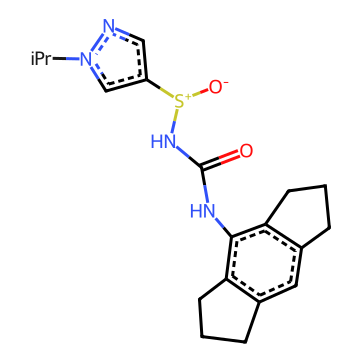 CC(C)n1cc([S+]([O-])NC(=O)Nc2c3c(cc4c2CCC4)CCC3)cn1